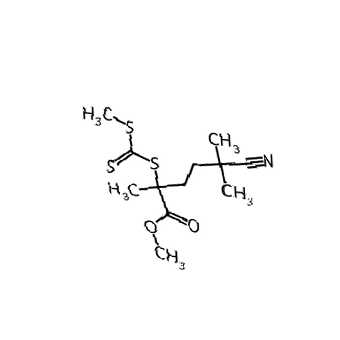 COC(=O)C(C)(CCC(C)(C)C#N)SC(=S)SC